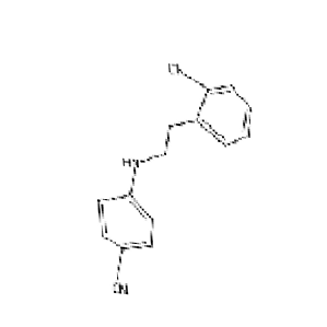 N#Cc1ccc(NCCc2ccccc2Cl)cc1